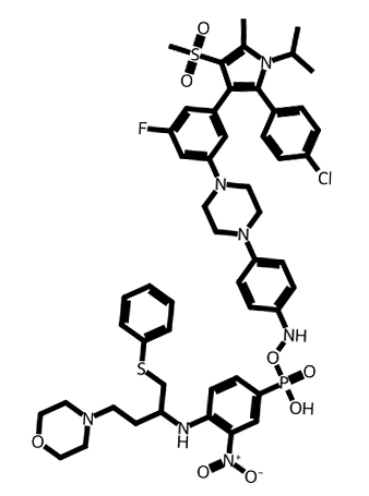 Cc1c(S(C)(=O)=O)c(-c2cc(F)cc(N3CCN(c4ccc(NOP(=O)(O)c5ccc(NC(CCN6CCOCC6)CSc6ccccc6)c([N+](=O)[O-])c5)cc4)CC3)c2)c(-c2ccc(Cl)cc2)n1C(C)C